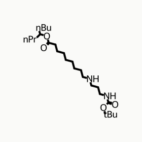 CCCCC(CCC)OC(=O)CCCCCCCCNCCCNC(=O)OC(C)(C)C